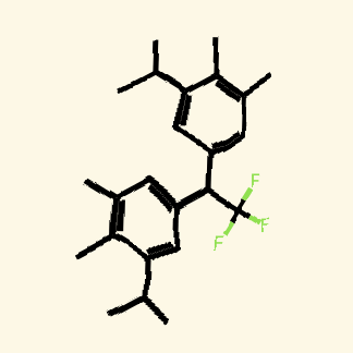 Cc1cc(C(c2cc(C)c(C)c(C(C)C)c2)C(F)(F)F)cc(C(C)C)c1C